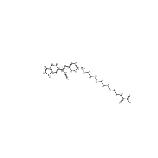 C=C(C)C(=O)OCCCCCCCCCCCOc1ccc(/C=C(\C#N)c2ccc3c(c2)OCO3)cc1